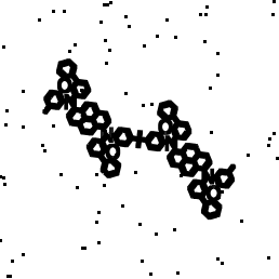 Cc1cccc(N(c2ccc3ccc4c(N(c5ccc(C(C)(C)c6ccc(N(c7ccc8ccc9c(N(c%10cccc(C)c%10)c%10cccc%11c%10oc%10ccccc%10%11)ccc%10ccc7c8c%109)c7cccc8c7oc7ccccc78)cc6)cc5)c5cccc6c5oc5ccccc56)ccc5ccc2c3c54)c2cccc3c2oc2ccccc23)c1